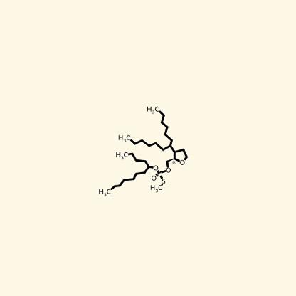 CCCCCCCC(CCCC)OP(=O)(OC[C@@H]1OCCC1C(CCCCCC)CCCCCC)SC